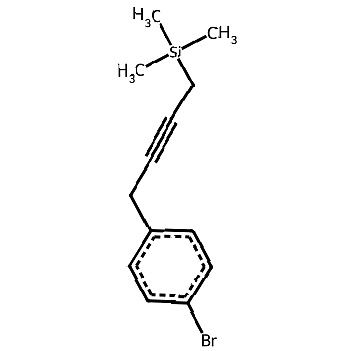 C[Si](C)(C)CC#CCc1ccc(Br)cc1